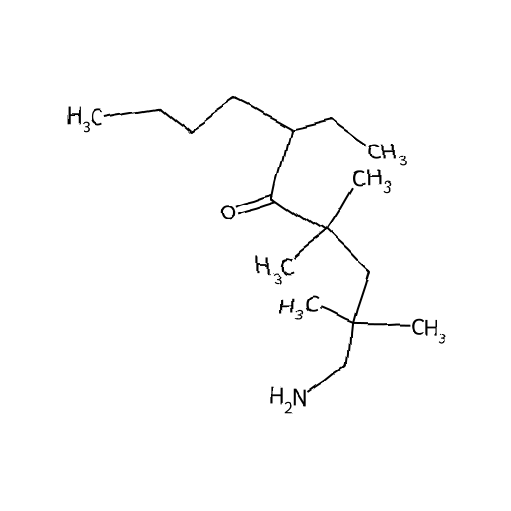 CCCCC(CC)C(=O)C(C)(C)CC(C)(C)CN